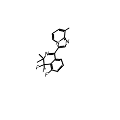 Cc1cccn2c(C3=NC(C)(C)C(F)(F)c4c(F)cccc43)cnc12